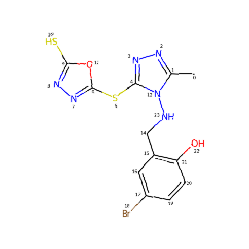 Cc1nnc(Sc2nnc(S)o2)n1NCc1cc(Br)ccc1O